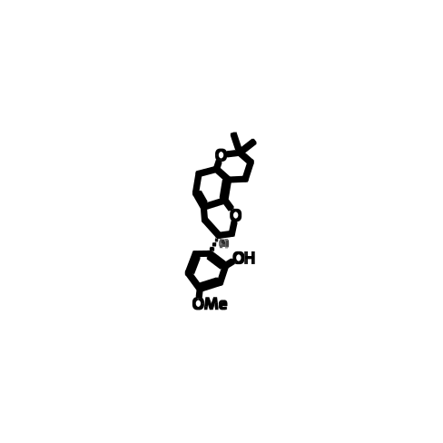 COc1ccc([C@H]2COC3=C4CCC(C)(C)OC4CC=C3C2)c(O)c1